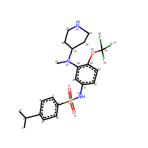 CC(C)c1ccc(S(=O)(=O)Nc2ccc(OC(F)(F)F)c(N(C)C3CCNCC3)c2)cc1